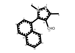 Cc1nn(C)c(-c2cccc3ccccc23)c1C=O